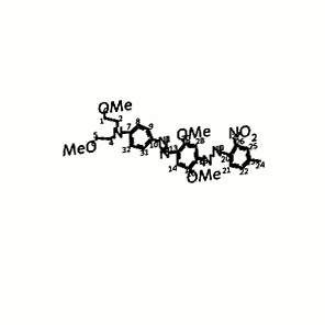 COCCN(CCOC)c1ccc(N=Nc2cc(OC)c(N=Nc3ccc(C)cc3[N+](=O)[O-])cc2OC)cc1